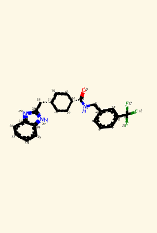 O=C(NCc1cccc(C(F)(F)F)c1)[C@H]1CC[C@@H](Cc2nc3ccccc3[nH]2)CC1